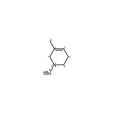 CC1=CCCN(C(C)(C)C)C1